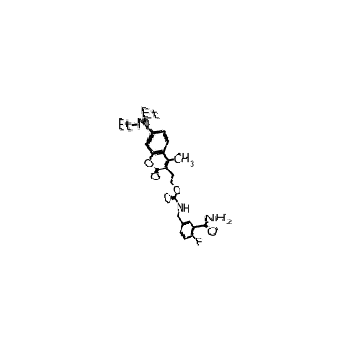 CCN(CC)c1ccc2c(C)c(CCOC(=O)NCc3ccc(F)c(C(N)=O)c3)c(=O)oc2c1